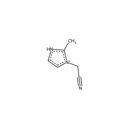 Cc1[nH]cc[n+]1CC#N